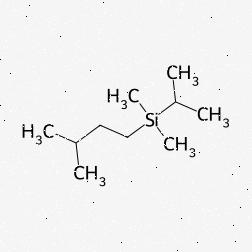 CC(C)CC[Si](C)(C)C(C)C